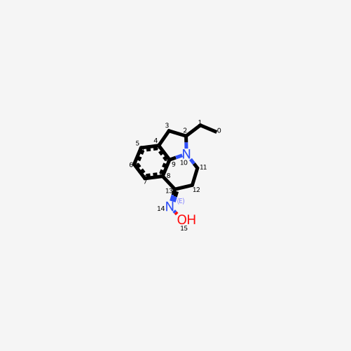 CCC1Cc2cccc3c2N1CC/C3=N\O